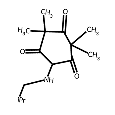 CC(C)CNC1C(=O)C(C)(C)C(=O)C(C)(C)C1=O